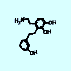 NCCc1ccc(O)c(O)c1CCc1cccc(O)c1